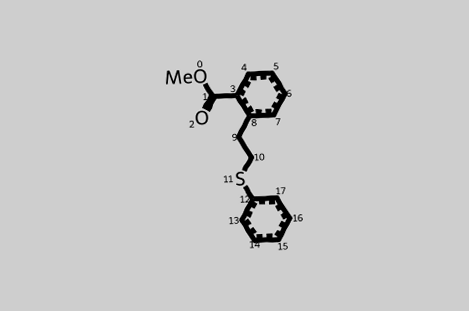 COC(=O)c1ccccc1CCSc1ccccc1